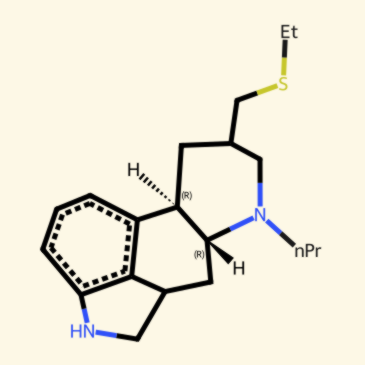 CCCN1CC(CSCC)C[C@@H]2c3cccc4c3C(CN4)C[C@H]21